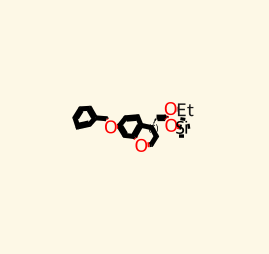 CCOC(=C[C@@H]1CCOc2cc(OCc3ccccc3)ccc21)O[Si](C)(C)C